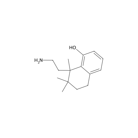 CC1(C)CCc2cccc(O)c2C1(C)CCN